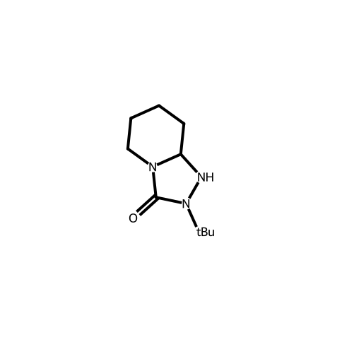 CC(C)(C)N1NC2CCCCN2C1=O